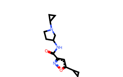 O=C(NC1CCN(C2CC2)C1)c1cc(C2CC2)on1